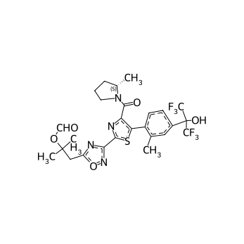 Cc1cc(C(O)(C(F)(F)F)C(F)(F)F)ccc1-c1sc(-c2noc(CC(C)(C)OC=O)n2)nc1C(=O)N1CCC[C@@H]1C